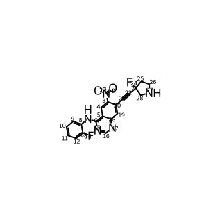 O=[N+]([O-])c1cc2c(Nc3ccccc3F)ncnc2cc1C#CC1(F)CCNC1